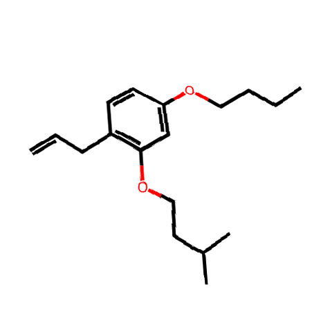 C=CCc1ccc(OCCCC)cc1OCCC(C)C